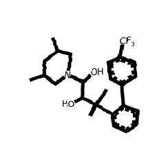 CC1CC(C)CN(C(O)C(O)C(C)(C)c2ccccc2-c2ccc(C(F)(F)F)cc2)C1